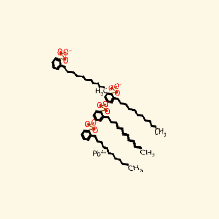 CCCCCCCCCCCCc1ccccc1S(=O)(=O)[O-].CCCCCCCCCCCCc1ccccc1S(=O)(=O)[O-].CCCCCCCCCCCCc1ccccc1S(=O)(=O)[O-].CCCCCCCCCCCCc1ccccc1S(=O)(=O)[O-].[Pb+4]